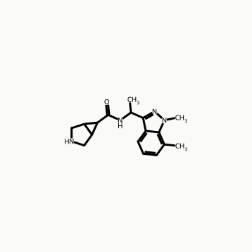 Cc1cccc2c(C(C)NC(=O)C3C4CNCC43)nn(C)c12